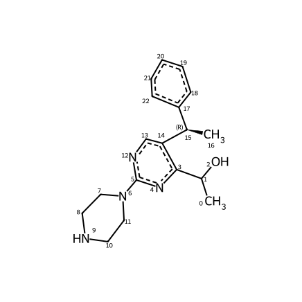 CC(O)c1nc(N2CCNCC2)ncc1[C@H](C)c1ccccc1